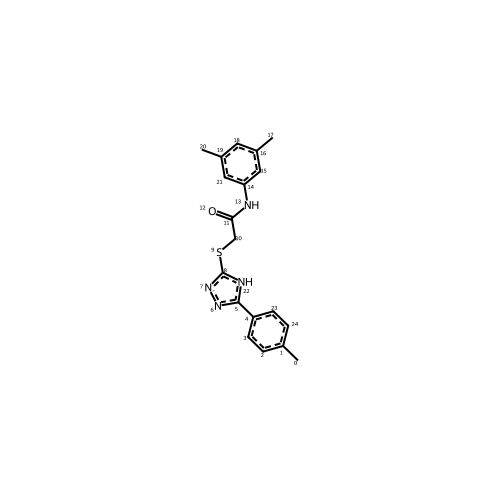 Cc1ccc(-c2nnc(SCC(=O)Nc3cc(C)cc(C)c3)[nH]2)cc1